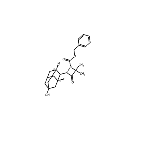 CC1(C)C(=O)N(C2[C@H]3CC4C[C@H]2CC(O)(C4)C3)N1C(=O)OCc1ccccc1